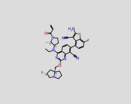 C=CC(=O)N1CC[C@@H](N(CC)c2nc(OC[C@@]34CCCN3C[C@H](F)C4)nc3c(C#N)c(-c4ccc(F)c5sc(N)c(C#N)c45)ccc23)[C@@H]1C